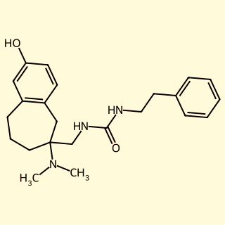 CN(C)C1(CNC(=O)NCCc2ccccc2)CCCc2cc(O)ccc2C1